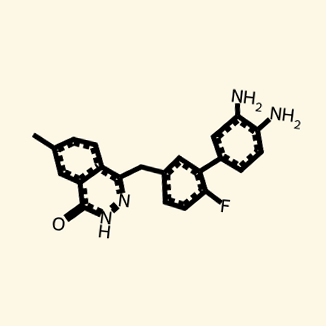 Cc1ccc2c(Cc3ccc(F)c(-c4ccc(N)c(N)c4)c3)n[nH]c(=O)c2c1